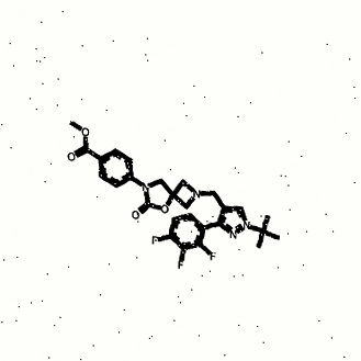 COC(=O)c1ccc(N2CC3(CN(Cc4cn(C(C)(C)C)nc4-c4ccc(F)c(F)c4F)C3)OC2=O)cc1